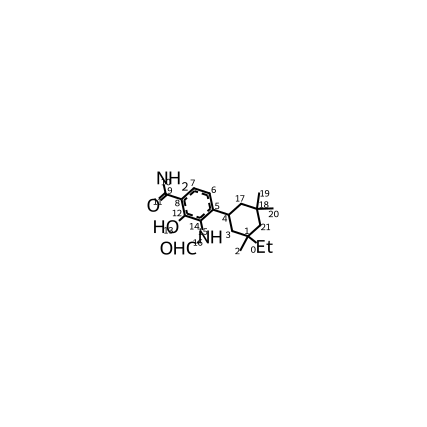 CCC1(C)CC(c2ccc(C(N)=O)c(O)c2NC=O)CC(C)(C)C1